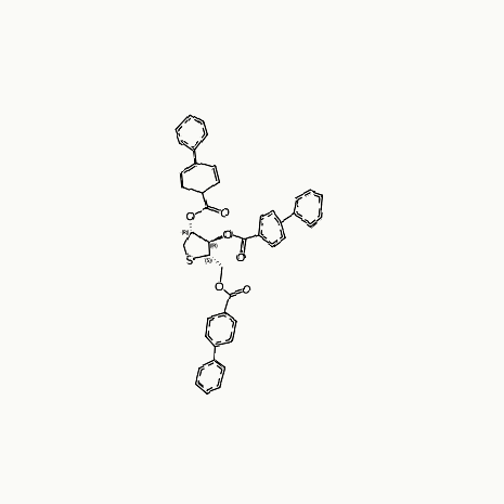 O=C(OC[C@@H]1SC[C@H](OC(=O)C2C=CC(c3ccccc3)=CC2)[C@H]1OC(=O)c1ccc(-c2ccccc2)cc1)c1ccc(-c2ccccc2)cc1